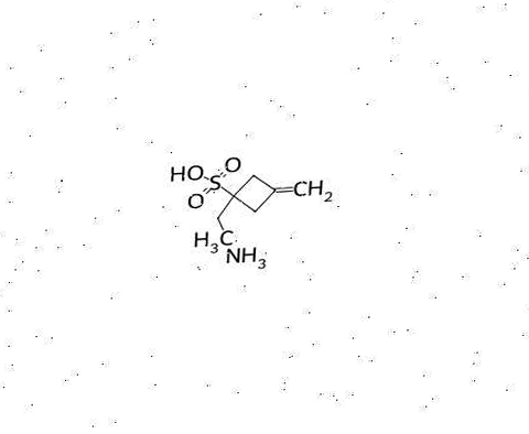 C=C1CC(CC)(S(=O)(=O)O)C1.N